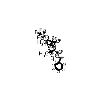 CC(OS(=O)(=O)C(F)(F)F)[C@@]1(Br)C(=O)N2[C@@H](C(=O)OCc3ccccc3)C(C)(C)S[C@@H]21